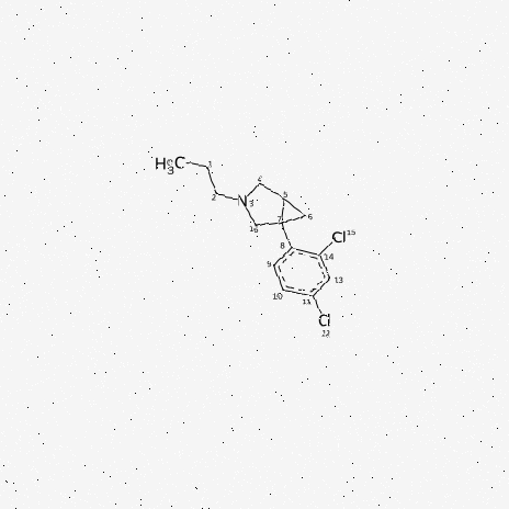 CCCN1CC2CC2(c2ccc(Cl)cc2Cl)C1